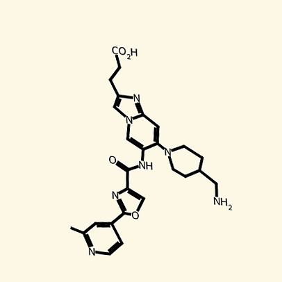 Cc1cc(-c2nc(C(=O)Nc3cn4cc(CCC(=O)O)nc4cc3N3CCC(CN)CC3)co2)ccn1